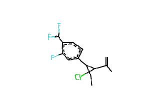 C=C(C)C1C(c2ccc(C(F)F)c(F)c2)C1(C)Cl